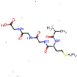 CSCCC(NC(=O)C(C)C)C(=O)NCC(=O)NCC(=O)NCC(=O)O